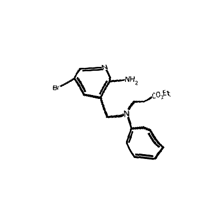 CCOC(=O)CN(Cc1cc(Br)cnc1N)c1ccccc1